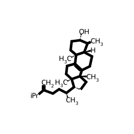 C=C(CC[C@@H](C)[C@H]1CC[C@@]2(C)C3=C(CC[C@]12C)[C@@]1(C)CC[C@H](O)C(C)[C@@H]1CC3)C(C)C